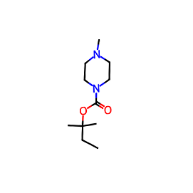 CCC(C)(C)OC(=O)N1CCN(C)CC1